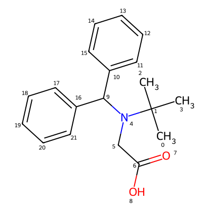 CC(C)(C)N(CC(=O)O)C(c1ccccc1)c1ccccc1